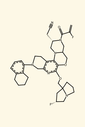 C=C(F)C(=O)N1CC2COc3c(OCC45CCCN4C[C@H](F)C5)nc4c(c3N2C[C@@H]1CC#N)CCN(c1cccc2c1CCCC2)C4